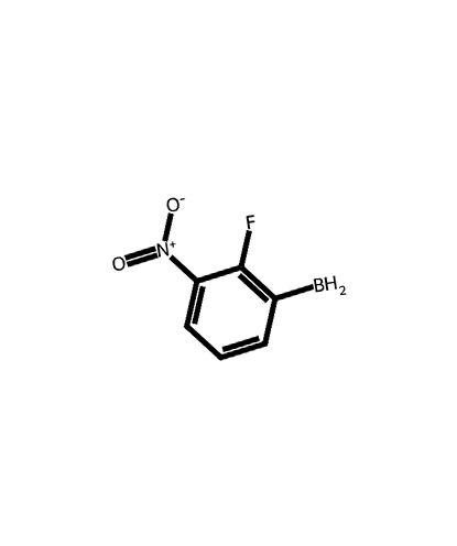 Bc1cccc([N+](=O)[O-])c1F